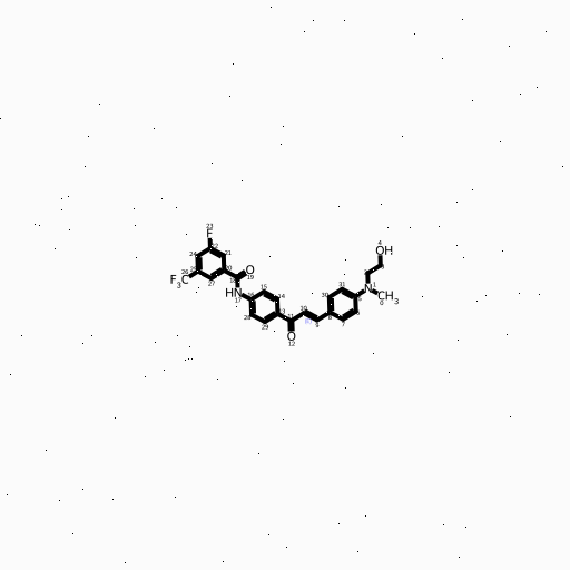 CN(CCO)c1ccc(/C=C/C(=O)c2ccc(NC(=O)c3cc(F)cc(C(F)(F)F)c3)cc2)cc1